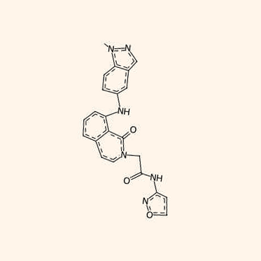 Cn1ncc2cc(Nc3cccc4ccn(CC(=O)Nc5ccon5)c(=O)c34)ccc21